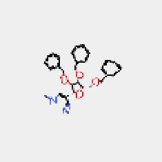 CN(C)C=C(C#N)[C@H]1O[C@H](COCc2ccccc2)[C@@H](OCc2ccccc2)[C@@H]1OCc1ccccc1